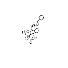 CC(Nc1ccccc1C(=O)OCc1ccccc1)C(=O)N1CCC[C@H]1C(=O)O